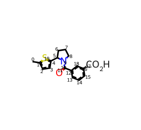 Cc1ccc(C2CCCN2C(=O)c2cccc(C(=O)O)c2)s1